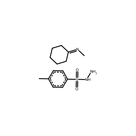 CN=C1CCCCC1.Cc1ccc(S(=O)(=O)NN)cc1